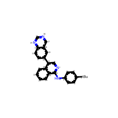 CC(C)(C)c1ccc(Nc2ncc(-c3ccc4ncncc4c3)c3ccccc23)cc1